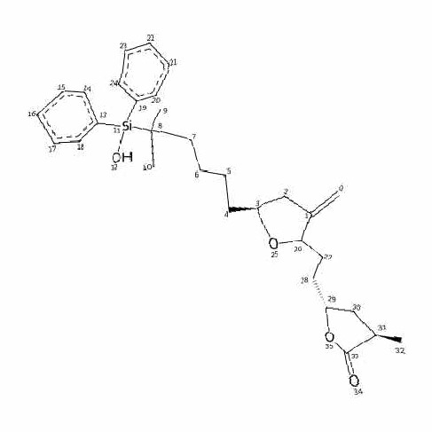 C=C1C[C@H](CCCCC(C)(C)[Si](O)(c2ccccc2)c2ccccc2)OC1CC[C@@H]1C[C@@H](C)C(=O)O1